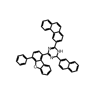 c1ccc(-c2ccc(C3=NC(c4ccc5ccccc5c4)NC(c4ccc5ccc6ccccc6c5c4)=N3)c3c2oc2ccccc23)cc1